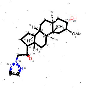 CO[C@H]1C[C@@]2(C)[C@@H](CC[C@@H]3[C@@H]2CC[C@]2(C)C(C(=O)Cn4nccn4)CC[C@@H]32)C[C@@H]1O